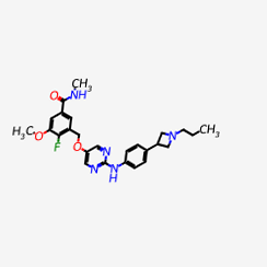 CCCN1CC(c2ccc(Nc3ncc(OCc4cc(C(=O)NC)cc(OC)c4F)cn3)cc2)C1